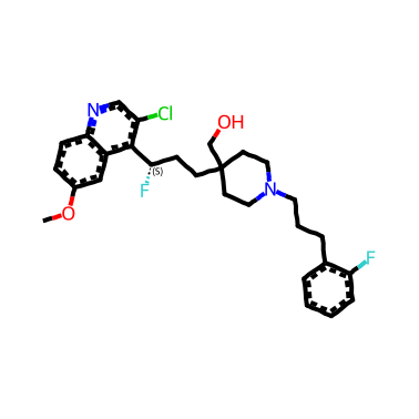 COc1ccc2ncc(Cl)c([C@@H](F)CCC3(CO)CCN(CCCc4ccccc4F)CC3)c2c1